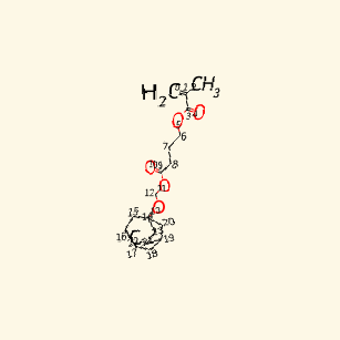 C=C(C)C(=O)OCCCC(=O)OCOC12CC3CCC(C1)C(C3)C2